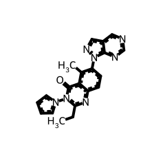 CCc1nc2ccc(-n3ncc4cncnc43)c(C)c2c(=O)n1-n1cccc1